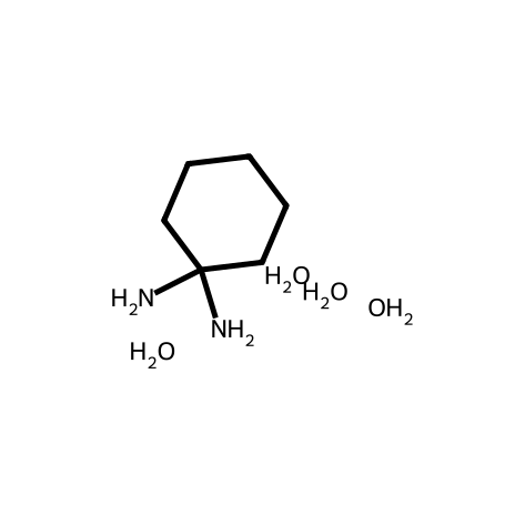 NC1(N)CCCCC1.O.O.O.O